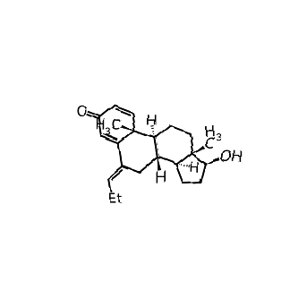 CCC=C1C[C@H]2[C@@H]3CC[C@H](O)[C@@]3(C)CC[C@@H]2[C@@]2(C)C=CC(=O)C=C12